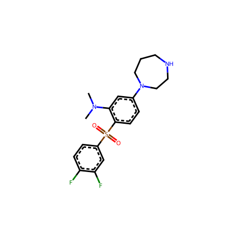 CN(C)c1cc(N2CCCNCC2)ccc1S(=O)(=O)c1ccc(F)c(F)c1